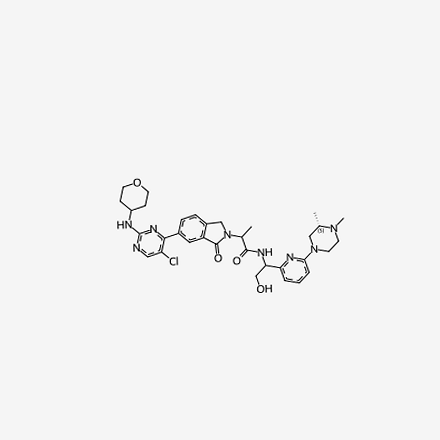 CC(C(=O)NC(CO)c1cccc(N2CCN(C)[C@@H](C)C2)n1)N1Cc2ccc(-c3nc(NC4CCOCC4)ncc3Cl)cc2C1=O